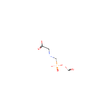 O=COP(=O)(O)CNCC(=O)O